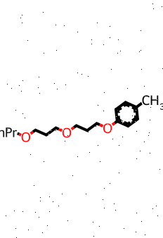 [CH2]CCOCCCOCCCOc1ccc(C)cc1